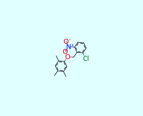 Cc1cc(C)c(OCc2c(Cl)cccc2[N+](=O)[O-])cc1C